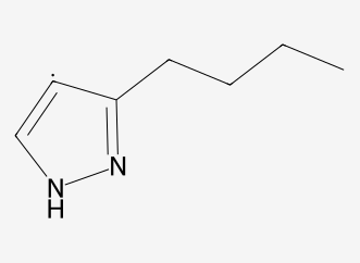 CCCCc1[c]c[nH]n1